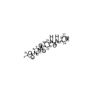 CC(C)(C)OC(=O)N1CCN(S(=O)(=O)c2ccc(NC(=O)NCc3ccncc3)cc2)CC1